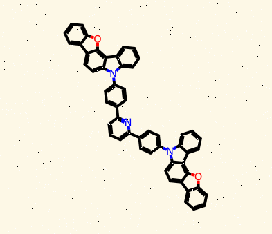 c1cc(-c2ccc(-n3c4ccccc4c4c5oc6ccccc6c5ccc43)cc2)nc(-c2ccc(-n3c4ccccc4c4c5oc6ccccc6c5ccc43)cc2)c1